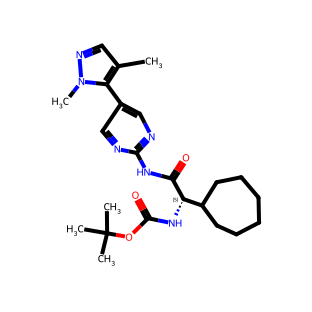 Cc1cnn(C)c1-c1cnc(NC(=O)[C@@H](NC(=O)OC(C)(C)C)C2CCCCCC2)nc1